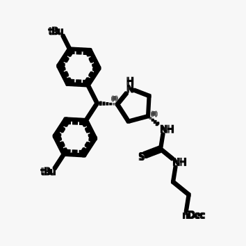 CCCCCCCCCCCCNC(=S)N[C@H]1CN[C@@H](C(c2ccc(C(C)(C)C)cc2)c2ccc(C(C)(C)C)cc2)C1